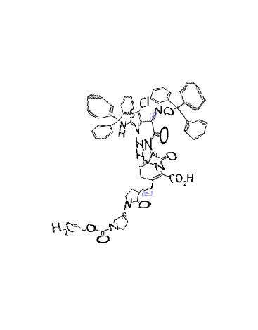 C=CCOC(=O)N1CC[C@@H](N2CC/C(=C\C3=C(C(=O)O)N4C(=O)[C@@H](NC(=O)/C(=N\OC(c5ccccc5)(c5ccccc5)c5ccccc5)c5nc(NC(c6ccccc6)(c6ccccc6)c6ccccc6)sc5Cl)[C@H]4CC3)C2=O)C1